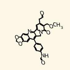 COCc1c(CC=O)cc2n(c1=O)Cc1c-2nc2cc3c(cc2c1-c1ccc(NC=O)cc1)OCO3